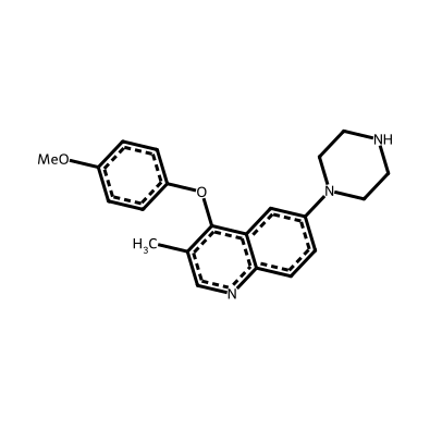 COc1ccc(Oc2c(C)cnc3ccc(N4CCNCC4)cc23)cc1